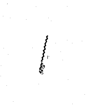 CCCCCCCCCCCCCCCCSCC(C[n+]1ccsc1)OC.[I-]